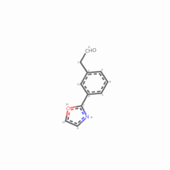 O=CCc1cccc(-c2ncco2)c1